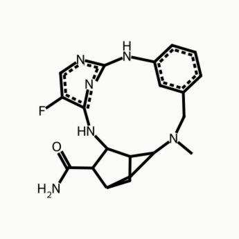 CN1Cc2cccc(c2)Nc2ncc(F)c(n2)NC2C3CC(CC31)C2C(N)=O